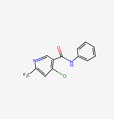 O=C(Nc1ccccc1)c1cnc(C(F)(F)F)cc1Cl